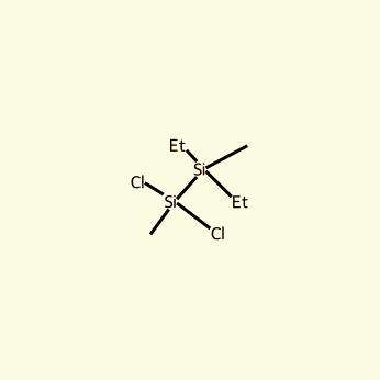 CC[Si](C)(CC)[Si](C)(Cl)Cl